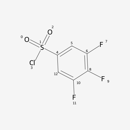 O=S(=O)(Cl)c1cc(F)c(F)c(F)c1